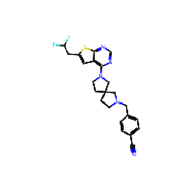 N#Cc1ccc(CN2CCC3(CCN(c4ncnc5sc(CC(F)F)cc45)C3)C2)cc1